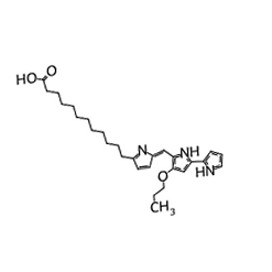 CCCOc1cc(-c2ccc[nH]2)[nH]c1/C=C1\C=CC(CCCCCCCCCCCC(=O)O)=N1